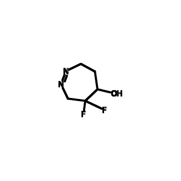 OC1CCN=NCC1(F)F